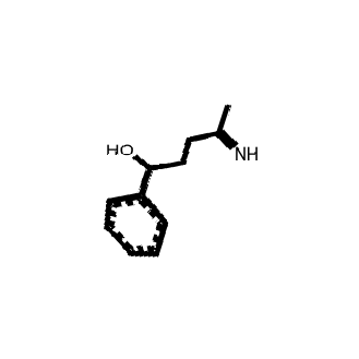 CC(=N)CCC(O)c1ccccc1